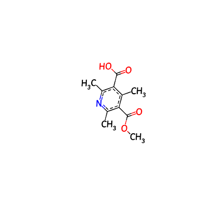 COC(=O)c1c(C)nc(C)c(C(=O)O)c1C